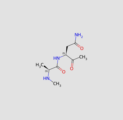 CN[C@@H](C)C(=O)N[C@@H](CC(N)=O)C(C)=O